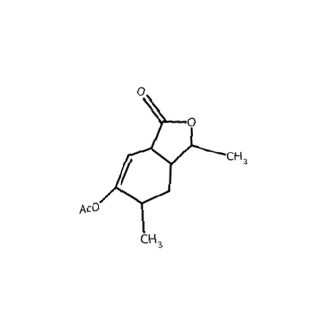 CC(=O)OC1=CC2C(=O)OC(C)C2CC1C